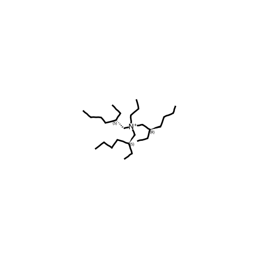 CCCC[C@@H](CC)C[N+](CCC)(C[C@@H](CC)CCCC)C[C@@H](CC)CCCC